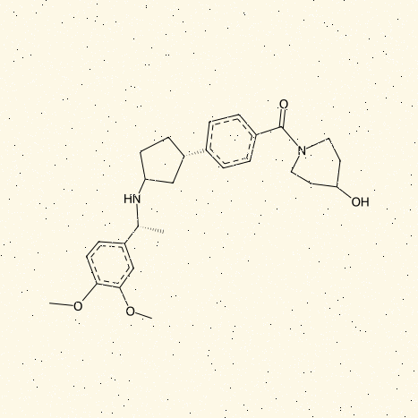 COc1ccc([C@@H](C)NC2CC[C@H](c3ccc(C(=O)N4CCC(O)CC4)cc3)C2)cc1OC